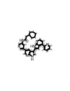 O=C(CC1CCCCC1)Nc1cncc(-c2cnc3[nH]nc(-c4cc5c(-c6ccccn6)ccnc5[nH]4)c3c2)c1